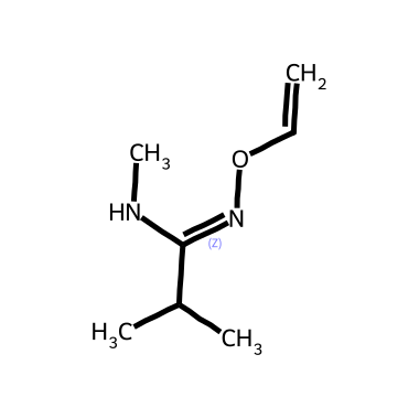 C=CO/N=C(\NC)C(C)C